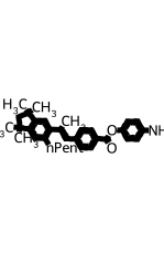 CCCCCc1cc2c(cc1C(C)=Cc1ccc(C(=O)Oc3ccc(N)cc3)cc1)C(C)(C)CC2(C)C